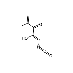 C=C(C)C(=O)C(O)=CN=C=O